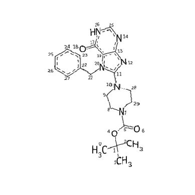 CC(C)(C)OC(=O)N1CCN(c2nc3nc[nH]c(=O)c3n2Cc2ccccc2)CC1